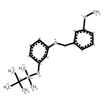 COc1cccc(COc2cccc(O[Si](C)(C)C(C)(C)C)c2)c1